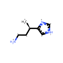 C[C@H](CCN)c1c[nH]cn1